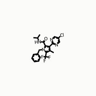 Cc1c(-c2ncc(Cl)cn2)c(C(=O)NC(C)C)n(Cc2ccccc2)c1C(F)(F)F